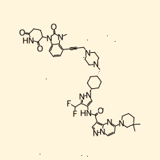 Cn1c(=O)n(C2CCC(=O)NC2=O)c2cccc(C#CCN3CCN(C[C@H]4CC[C@H](n5cc(NC(=O)c6cnn7ccc(N8CCCC(C)(C)C8)nc67)c(C(F)F)n5)CC4)CC3)c21